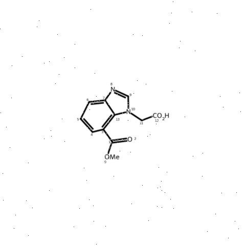 COC(=O)c1cccc2ncn(CC(=O)O)c12